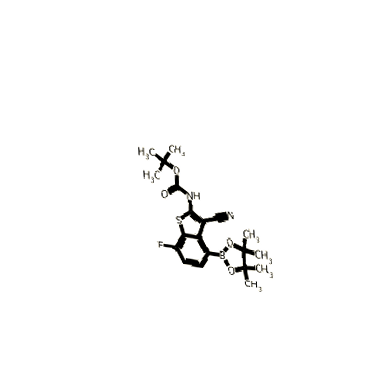 CC(C)(C)OC(=O)Nc1sc2c(F)ccc(B3OC(C)(C)C(C)(C)O3)c2c1C#N